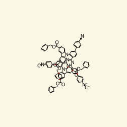 [C-]#[N+]c1ccc(-c2ccc(-c3nc(-c4ccc(-c5ccc(C#N)cc5)cc4-n4c5ccc(C(=O)OCc6ccccc6)cc5c5cc(C(=O)OCc6ccccc6)ccc54)nc(-c4ccc(-c5ccc([N+]#[C-])cc5)cc4-n4c5ccc(C(=O)OCc6ccccc6)cc5c5cc(C(=O)OCc6ccccc6)ccc54)n3)cc2)cc1